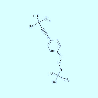 CC(C)(O)C#Cc1ccc(CCOC(C)(C)O)cc1